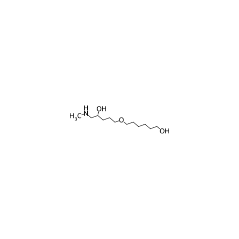 CNCC(O)CCCOCCCCCCO